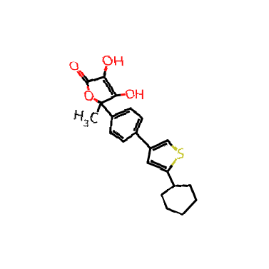 CC1(c2ccc(-c3csc(C4CCCCC4)c3)cc2)OC(=O)C(O)=C1O